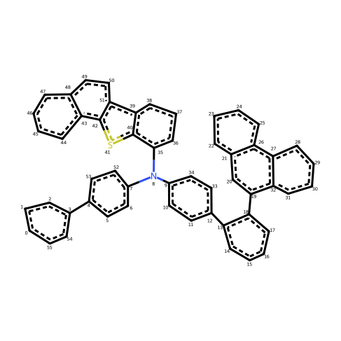 c1ccc(-c2ccc(N(c3ccc(-c4ccccc4-c4cc5ccccc5c5ccccc45)cc3)c3cccc4c3sc3c5ccccc5ccc43)cc2)cc1